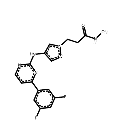 O=C(CCn1cc(Nc2nccc(-c3cc(F)cc(F)c3)n2)cn1)NO